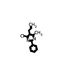 C=CCc1c(C)nc(-c2ccccc2)nc1Cl